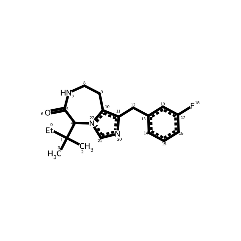 CCC(C)(C)C1C(=O)NCCc2c(Cc3cccc(F)c3)ncn21